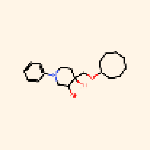 OC1CN(c2ccccc2)CCC1(O)COC1CCCCCCC1